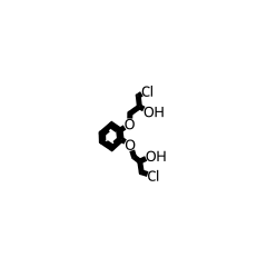 OC(CCl)COc1ccccc1OCC(O)CCl